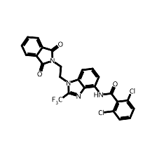 O=C(Nc1cccc2c1nc(C(F)(F)F)n2CCN1C(=O)c2ccccc2C1=O)c1c(Cl)cccc1Cl